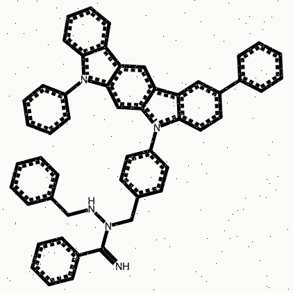 N=C(c1ccccc1)N(Cc1ccc(-n2c3ccc(-c4ccccc4)cc3c3cc4c5ccccc5n(-c5ccccc5)c4cc32)cc1)NCc1ccccc1